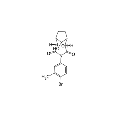 Cc1cc(N2C(=O)[C@@H]3C4CCC([C@@H]3C2=O)C4(O)O)ccc1Br